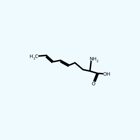 CC=CC=CCCC(N)C(=O)O